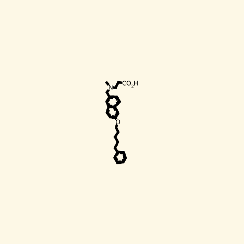 CN(CCC(=O)O)Cc1ccc2cc(OCCCCCc3ccccc3)ccc2c1